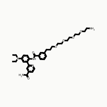 CCN(CC)c1ccc(NC(=O)c2cccc(CCCOCCOCCOCCOCCN)c2)c(-c2cc(C(N)=O)ccn2)c1